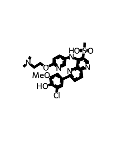 COc1cc(-c2ccc3ncc(S(C)(=O)=O)c(Nc4ccc(OCCN(C)C)nc4)c3n2)cc(Cl)c1O